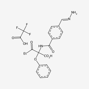 CCC(=O)C(NC(=O)c1ccc(C=NN)cc1)(Oc1ccccc1)C(=O)O.O=C(O)C(F)(F)F